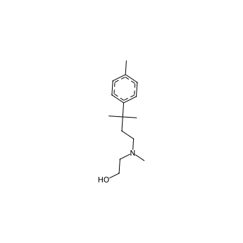 Cc1ccc(C(C)(C)CCN(C)CCO)cc1